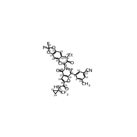 CCN(C(=O)Cn1nc(-c2cc(C)cc(C#N)c2)c2oc(C(=O)NC3(C(F)(F)F)CC3)cc2c1=O)c1cc2c(cc1C)OC(F)(F)O2